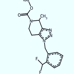 CC1c2nnn(Cc3ccccc3C(F)F)c2CCN1C(=O)OC(C)(C)C